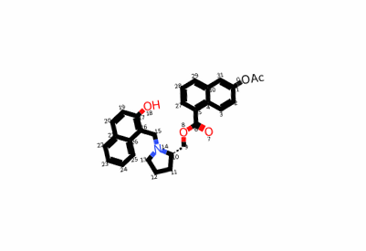 CC(=O)Oc1ccc2c(C(=O)OC[C@@H]3CCCN3Cc3c(O)ccc4ccccc34)cccc2c1